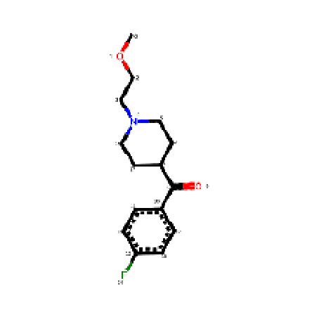 COCCN1CCC(C(=O)c2ccc(F)cc2)CC1